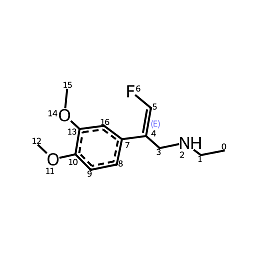 CCNC/C(=C/F)c1ccc(OC)c(OC)c1